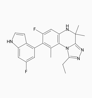 CCc1nnc2n1-c1c(cc(F)c(-c3cc(F)cc4[nH]ccc34)c1C)NC2(C)C